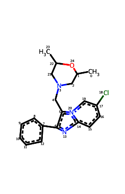 CC1CN(Cc2c(-c3ccccc3)nc3ccc(Cl)cn23)CC(C)O1